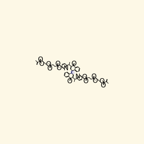 C=C(C)C(=O)OCCOC(=O)CCC(=O)Oc1ccc(C(C)C2=C/C(=C3/C=C(C(C)c4ccc(OC(=O)CCC(=O)OCCOC(=O)C(=C)C)cn4)C(=O)c4ccccc43)c3ccccc3C2=O)nc1